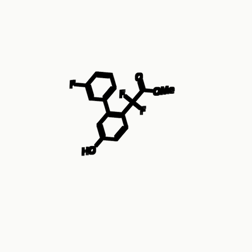 COC(=O)C(F)(F)c1ccc(O)cc1-c1cccc(F)c1